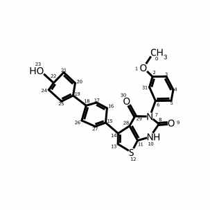 COc1cccc(-n2c(=O)[nH]c3scc(-c4ccc(-c5ccc(O)cc5)cc4)c3c2=O)c1